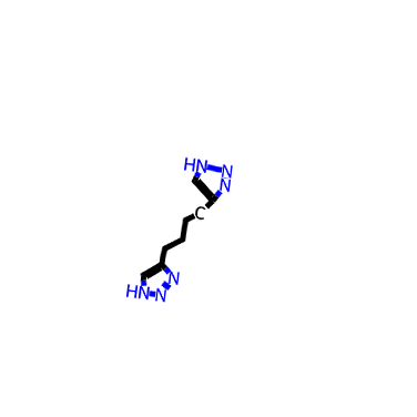 c1[nH]nnc1CCCCc1c[nH]nn1